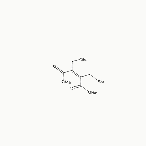 COC(=O)C(CC(C)(C)C)=C(CC(C)(C)C)C(=O)OC